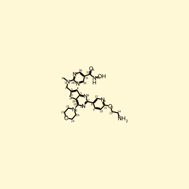 CN(Cc1cc2nc(-c3ccc(OCCN)nc3)nc(N3CCOCC3)c2s1)c1ncc(C(=O)NO)cn1